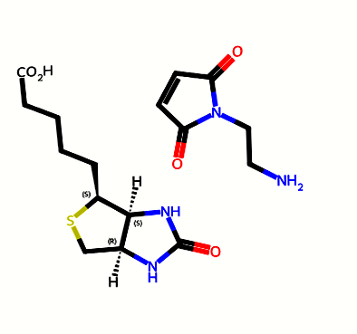 NCCN1C(=O)C=CC1=O.O=C(O)CCCC[C@@H]1SC[C@@H]2NC(=O)N[C@@H]21